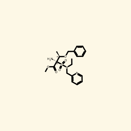 CCN(Cc1ccccn1)S(=O)(=O)[C@@](N)(C(=O)OC)[C@@H](C)OCc1ccccc1